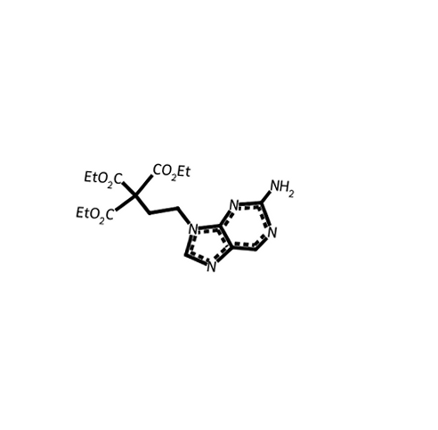 CCOC(=O)C(CCn1cnc2cnc(N)nc21)(C(=O)OCC)C(=O)OCC